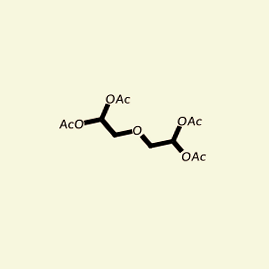 CC(=O)OC(COCC(OC(C)=O)OC(C)=O)OC(C)=O